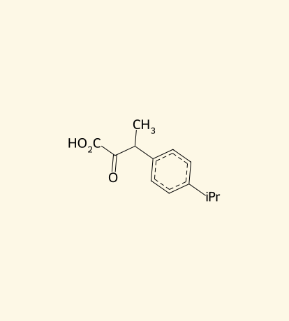 CC(C)c1ccc(C(C)C(=O)C(=O)O)cc1